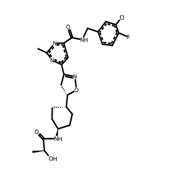 Cc1nc(C(=O)NCc2ccc(F)c(Cl)c2)cc(C2=NO[C@H]([C@H]3CC[C@H](NC(=O)[C@H](C)O)CC3)C2)n1